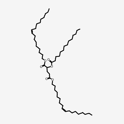 CCCCCCCC/C=C\CCCCCCCCOC(=O)CCC(OC(=O)CCCCCCCCCCCCC)C(=O)OCCCCCCCC/C=C\CCCCCCCC